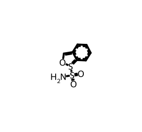 NS(=O)(=O)S1=c2ccccc2=CO1